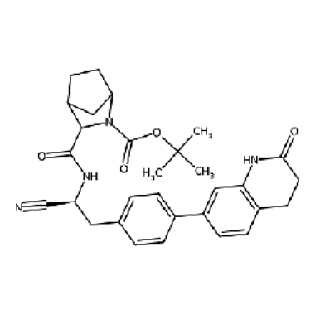 CC(C)(C)OC(=O)N1C2CCC(C2)C1C(=O)N[C@H](C#N)Cc1ccc(-c2ccc3c(c2)NC(=O)CC3)cc1